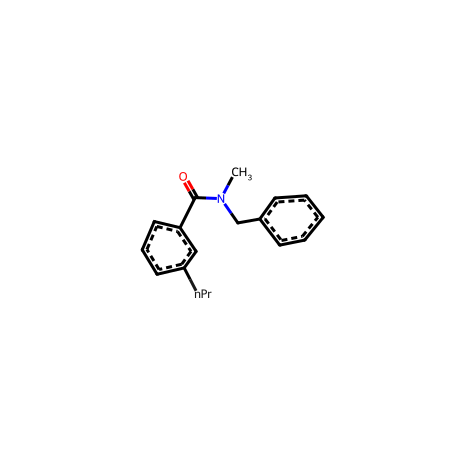 CCCc1cccc(C(=O)N(C)Cc2ccccc2)c1